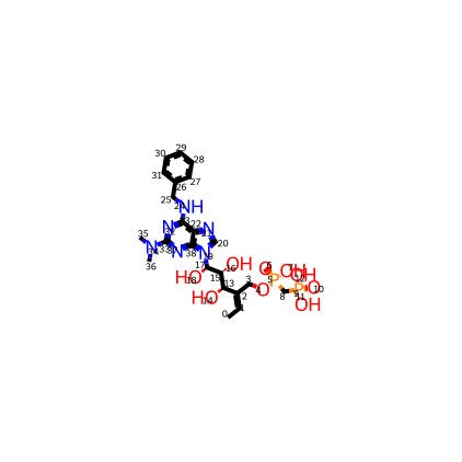 C/C=C(/COP(=O)(O)CP(=O)(O)O)[C@@H](O)[C@@H](O)[C@@H](O)n1cnc2c(NCc3ccccc3)nc(N(C)C)nc21